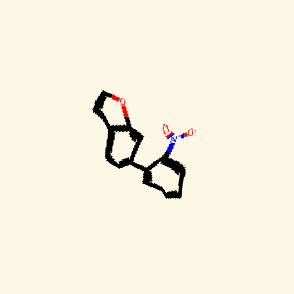 O=[N+]([O-])c1ccccc1-c1ccc2ccoc2c1